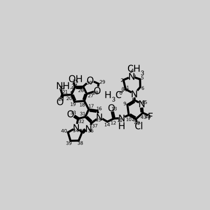 C[C@@H]1CN(C)CCN1c1cc(NC(=O)Cn2cc(-c3cc(C(N)=O)c(O)c4c3OCO4)c3c(=O)n4c(nc32)CCC4)c(Cl)c(F)n1